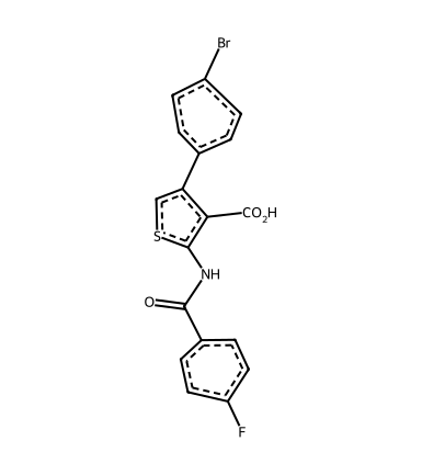 O=C(Nc1scc(-c2ccc(Br)cc2)c1C(=O)O)c1ccc(F)cc1